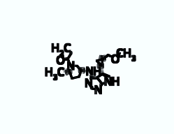 C=CC(=O)N1C[C@H](Nc2ncnc3[nH]cc([C@@H]4C[C@H]4COC)c23)CC[C@@H]1C